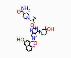 C[C@@]1(O)CCCN(c2nc(OCC3(CN4CCC(C(N)=O)CC4)CC3)nc3c2CN(C(=O)c2cc(O)cc4cccc(I)c24)C3)C1